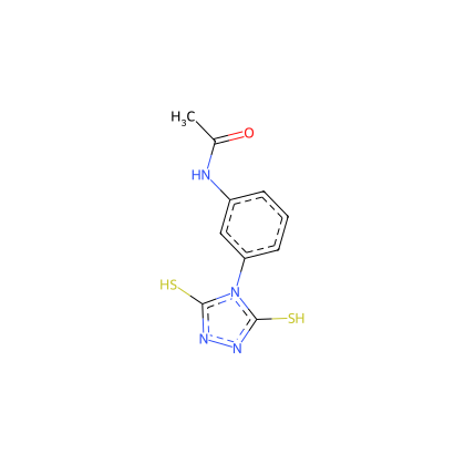 CC(=O)Nc1cccc(-n2c(S)nnc2S)c1